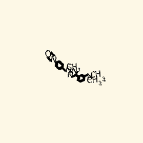 CN(C)Cc1cccc(-c2cnc(N(C)Cc3ccc(N4CCOCC4)cc3)nc2)c1